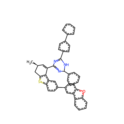 C[C@H]1C=C(C2=NC(c3ccccc3)NC(c3ccc(-c4ccccc4)cc3)=N2)c2c(sc3ccc(-c4ccc5oc6ccccc6c5c4)cc23)C1